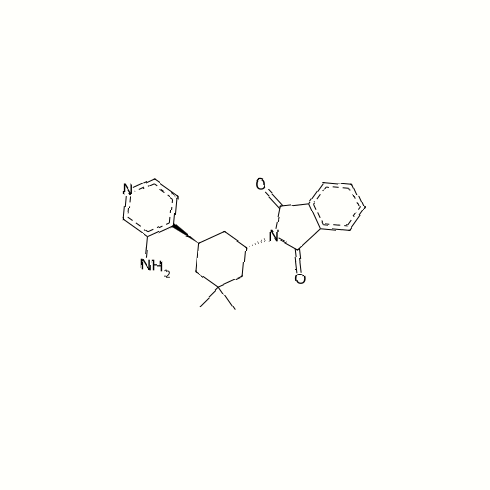 CC1(C)C[C@@H](c2ccncc2N)C[C@H](N2C(=O)c3ccccc3C2=O)C1